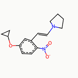 O=[N+]([O-])c1ccc(OC2CC2)cc1/C=C/N1CCCC1